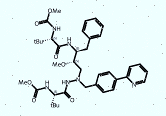 COC(=O)N[C@H](C(=O)N[C@@H](Cc1ccccc1)[C@H](CN(Cc1ccc(-c2ccccn2)cc1)NC(=O)[C@@H](NC(=O)OC)C(C)(C)C)OC)C(C)(C)C